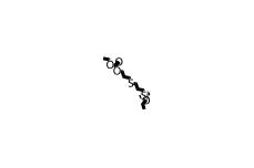 CCOC(=O)OCCCSCCC[Si](C)(C)OCC